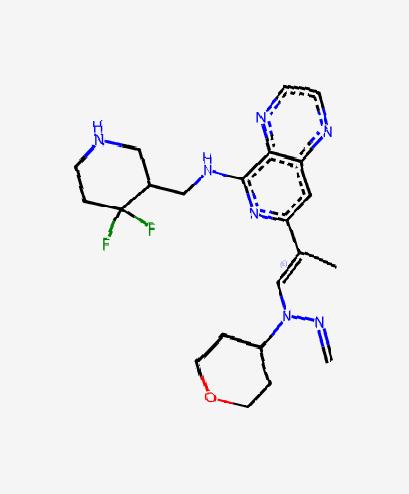 C=NN(/C=C(\C)c1cc2nccnc2c(NCC2CNCCC2(F)F)n1)C1CCOCC1